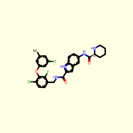 N#Cc1cc(Cl)cc(Oc2c(Cl)ccc(CNC(=O)c3cc4cc(NC(=O)[C@@H]5CCCCN5)ccc4[nH]3)c2F)c1